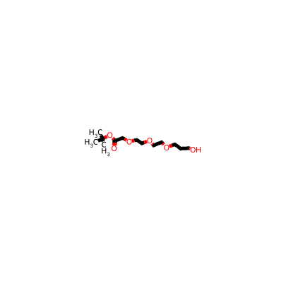 CC(C)(C)OC(=O)COCCOCCOCCCO